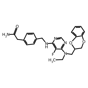 CCN(CC1COc2ccccc2O1)c1ncnc(NCc2ccc(CC(N)=O)cc2)c1F